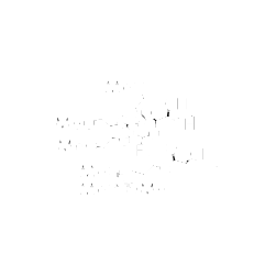 C=C(C)C(=O)OC(CC)[Si](OCCOC)(OCCOC)OCCOC.C=CC(=O)OCCC[Si](OC)(OC)OC